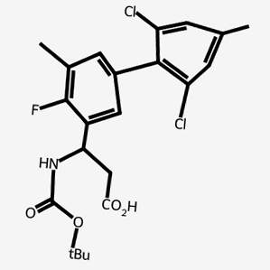 Cc1cc(Cl)c(-c2cc(C)c(F)c(C(CC(=O)O)NC(=O)OC(C)(C)C)c2)c(Cl)c1